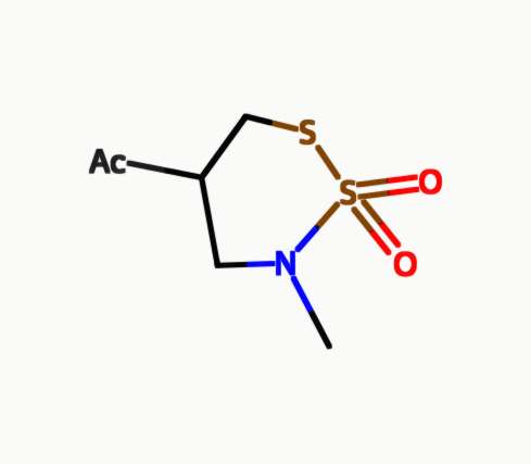 CC(=O)C1CSS(=O)(=O)N(C)C1